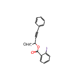 O=CC(C#Cc1ccccc1)OC(=O)c1ccccc1I